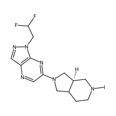 FC(F)Cn1ncc2ncc(N3CC4CCN(I)C[C@@H]4C3)nc21